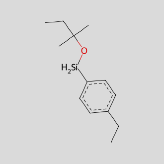 CCc1ccc([SiH2]OC(C)(C)CC)cc1